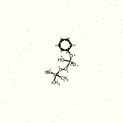 CC(C)(C)[Si](C)(C)OOP(=O)(O)Oc1ccccc1